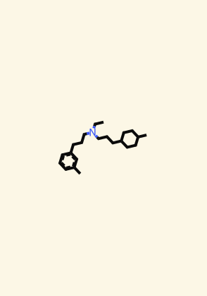 CCN(CCCc1cccc(C)c1)CCCC1CCC(C)CC1